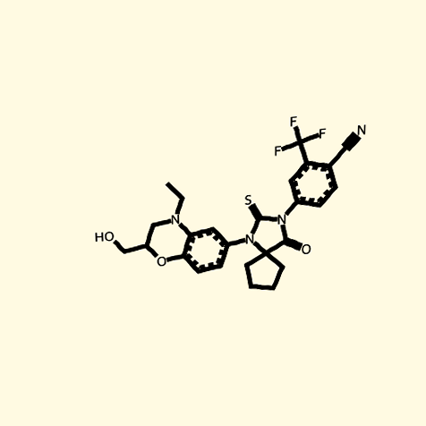 CCN1CC(CO)Oc2ccc(N3C(=S)N(c4ccc(C#N)c(C(F)(F)F)c4)C(=O)C34CCCC4)cc21